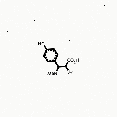 CNC(c1ccc(C#N)cc1)C(C(C)=O)C(=O)O